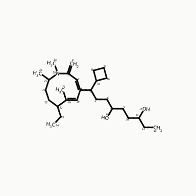 C=C1/C=C(C(CCC(O)CCC(O)CC)C2CCC2)\C=C(/C)C(CC)CCC(C)N1C